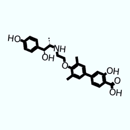 Cc1cc(-c2ccc(C(=O)O)c(O)c2)cc(C)c1OCCN[C@@H](C)[C@H](O)c1ccc(O)cc1